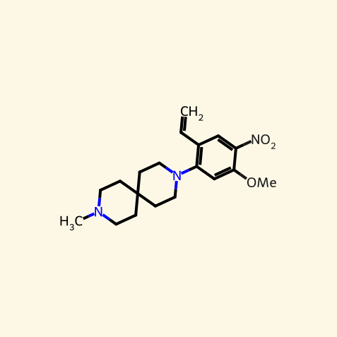 C=Cc1cc([N+](=O)[O-])c(OC)cc1N1CCC2(CCN(C)CC2)CC1